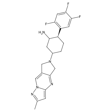 Cc1cc2nc3c(cn2n1)CN(C1CC[C@H](c2cc(F)c(F)cc2F)C(N)C1)C3